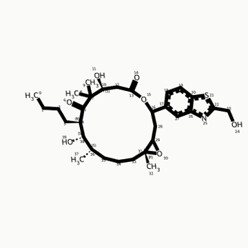 CCCC[C@H]1C(=O)C(C)(C)[C@@H](O)CC(=O)OC(c2ccc3sc(CO)nc3c2)CC2O[C@]2(C)CCC[C@H](C)[C@@H]1O